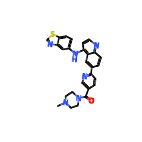 CN1CCN(C(=O)c2ccc(-c3ccc4nccc(Nc5ccc6scnc6c5)c4c3)nc2)CC1